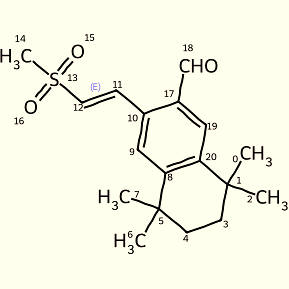 CC1(C)CCC(C)(C)c2cc(/C=C/S(C)(=O)=O)c(C=O)cc21